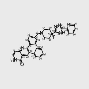 O=c1[nH]ccc2nc(-c3ccc(CN4CCC(F)(c5nnc(-c6ccccn6)[nH]5)CC4)cc3)c(-c3ccccc3)cc12